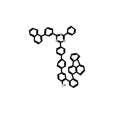 N#Cc1ccc(-c2ccc(-c3ccc(-c4nc(-c5ccccc5)nc(-c5cccc(-c6cccc7ccccc67)c5)n4)cc3)cc2)cc1-c1ccccc1-c1ccc2c3c(cccc13)-c1ccccc1-2